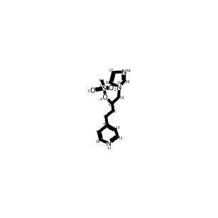 CS(=O)(=O)OC(CCc1ccncc1)Cn1ccnc1